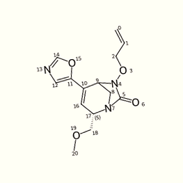 C=CCON1C(=O)N2CC1C(c1cnco1)=C[C@H]2COC